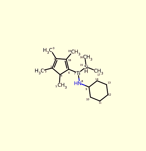 CC1=C(C)C(C)[C]([Ti]([NH]C2CCCCC2)[SiH](C)C)=C1C